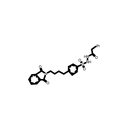 CC(C)CC(=O)NNS(=O)(=O)c1ccc(CCCCN2C(=O)c3ccccc3C2=O)cc1